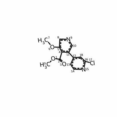 COC(=O)c1c(OC)cncc1-c1ccnc(Cl)c1